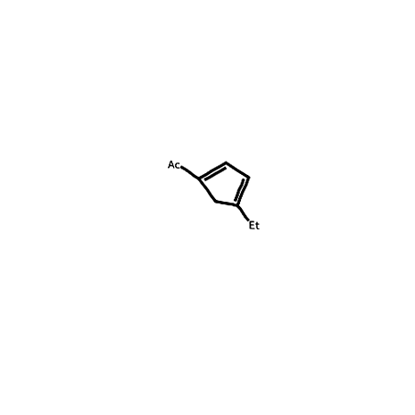 CCC1=CC=C(C(C)=O)C1